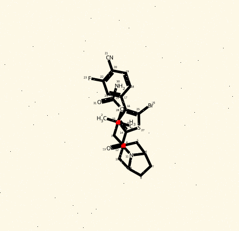 CC(C)(CC1CC2CCC(C1)N2C(=O)c1cc(-c2ccc(C#N)c(F)c2)c(Br)s1)OC(N)=O